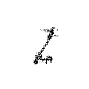 CCCCCNc1nc(N)nc2ccn(Cc3ccc(COCCOCCOCCOCCNC(=O)CNC(=O)[C@H](Cc4ccccc4)NC(=O)CNC(=O)CNC(=O)CN4C(=O)C=CC4=O)cc3OC)c12